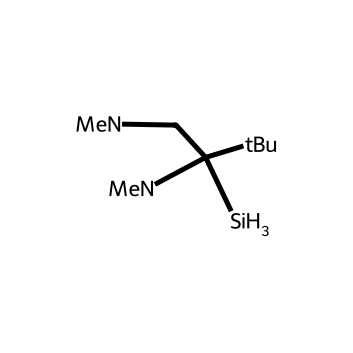 CNCC([SiH3])(NC)C(C)(C)C